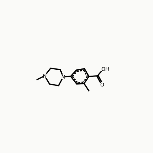 Cc1cc(N2CCN(C)CC2)ccc1C(=O)O